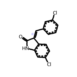 O=C1Nc2cc(Cl)ccc2/C1=C\c1cccc(Cl)c1